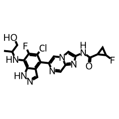 CC(CO)Nc1c(F)c(Cl)c(-c2cn3cc(NC(=O)C4CC4F)nc3cn2)c2cn[nH]c12